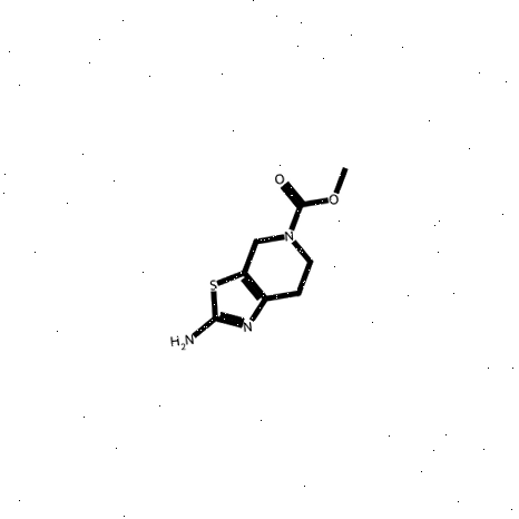 COC(=O)N1CCc2nc(N)sc2C1